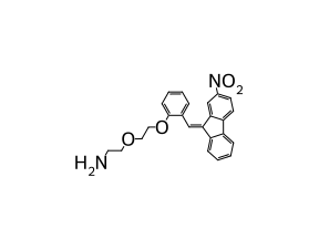 NCCOCCOc1ccccc1C=C1c2ccccc2-c2ccc([N+](=O)[O-])cc21